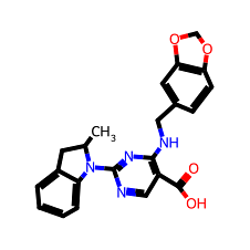 CC1Cc2ccccc2N1c1ncc(C(=O)O)c(NCc2ccc3c(c2)OCO3)n1